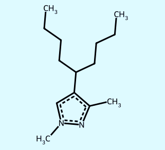 CCCCC(CCCC)c1cn(C)nc1C